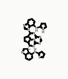 C1=Nc2cccc(Nc3cccs3)c2[C@H]1c1nc2ncnc3nc(-n4cnc5cccc(Nc6ccc[nH]6)c54)c4ccc1c4n23